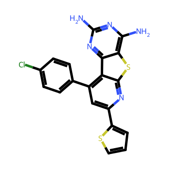 Nc1nc(N)c2sc3nc(-c4cccs4)cc(-c4ccc(Cl)cc4)c3c2n1